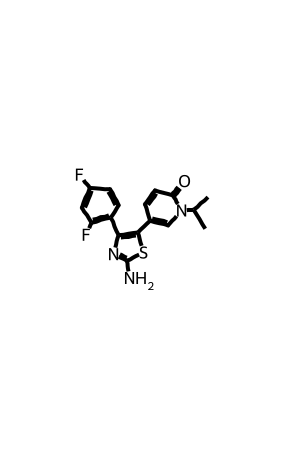 CC(C)n1cc(-c2sc(N)nc2-c2ccc(F)cc2F)ccc1=O